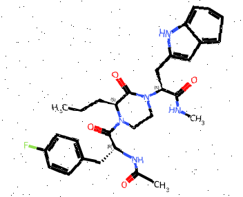 CCC[C@H]1C(=O)N([C@@H](Cc2cc3ccccc3[nH]2)C(=O)NC)CCN1C(=O)[C@@H](Cc1ccc(F)cc1)NC(C)=O